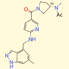 CC(=O)N(C)[C@H]1CCN(C(=O)c2ccc(NCc3cc(C)cc4[nH]ncc34)nc2)C1